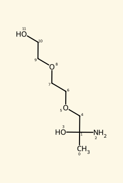 CC(N)(O)COCCOCCO